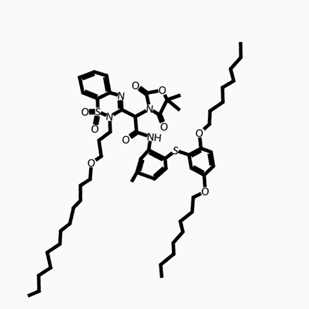 CCCCCCCCCCCCOCCCN1C(C(C(=O)Nc2cc(C)ccc2Sc2cc(OCCCCCCCC)ccc2OCCCCCCCC)N2C(=O)OC(C)(C)C2=O)=Nc2ccccc2S1(=O)=O